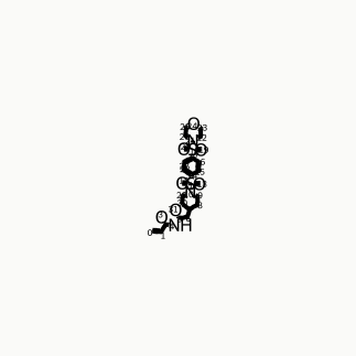 C=CC(=O)NC1CC2CCN(S(=O)(=O)c3ccc(S(=O)(=O)N4CCOCC4)cc3)CC2O1